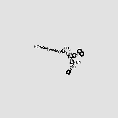 CN1C[C@H](OCCOCCOCCOCCO)C[C@H]1COc1nc2c(c(N3CCN(C(=O)OCc4ccccc4)[C@@H](CC#N)C3)n1)CCN(c1cccc3ccccc13)C2